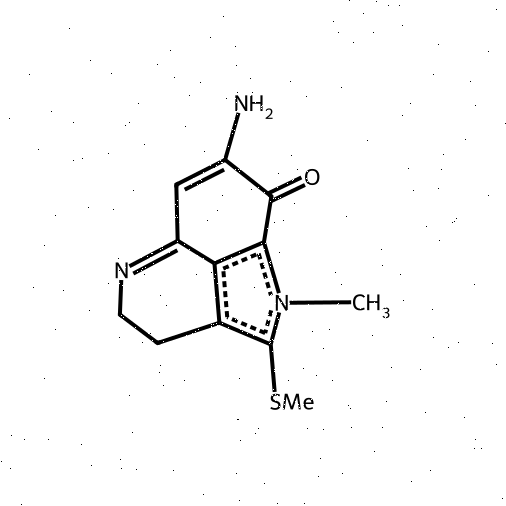 CSc1c2c3c(n1C)C(=O)C(N)=CC3=NCC2